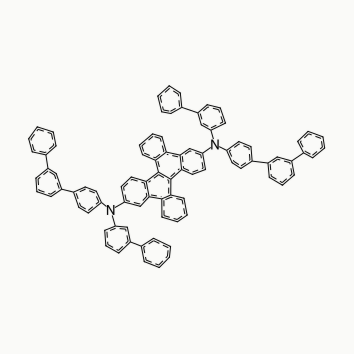 c1ccc(-c2cccc(-c3ccc(N(c4cccc(-c5ccccc5)c4)c4ccc5c(c4)c4ccccc4c4c6ccc(N(c7ccc(-c8cccc(-c9ccccc9)c8)cc7)c7cccc(-c8ccccc8)c7)cc6c6ccccc6c54)cc3)c2)cc1